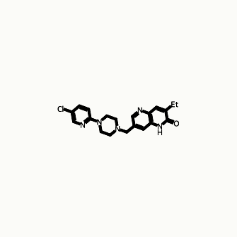 CCc1cc2ncc(CN3CCN(c4ccc(Cl)cn4)CC3)cc2[nH]c1=O